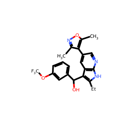 CCc1[nH]c2ncc(-c3c(C)noc3C)cc2c1C(O)c1cccc(OC(F)(F)F)c1